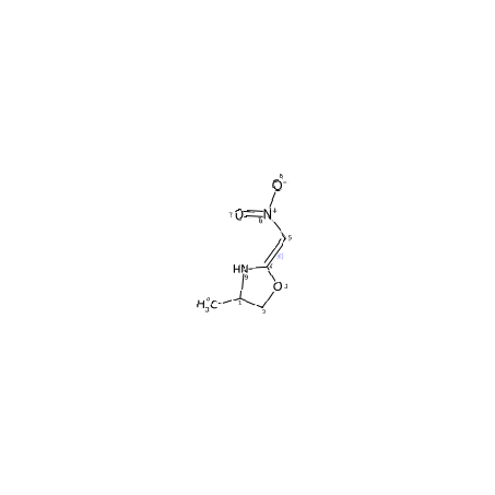 CC1CO/C(=C/[N+](=O)[O-])N1